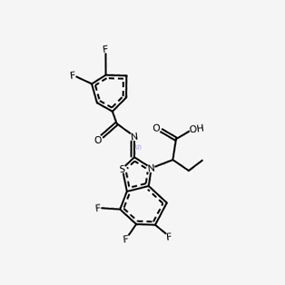 CCC(C(=O)O)n1/c(=N/C(=O)c2ccc(F)c(F)c2)sc2c(F)c(F)c(F)cc21